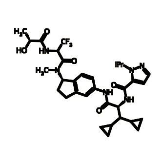 CC(C)n1nccc1C(=O)N[C@H](C(=O)Nc1ccc2c(c1)CC[C@H]2N(C)C(=O)C(NC(=O)[C@H](C)O)C(F)(F)F)C(C1CC1)C1CC1